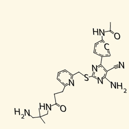 CC(=O)Nc1ccc(-c2nc(SCc3cccc(CCC(=O)NCC(C)(C)CN)n3)nc(N)c2C#N)cc1